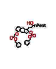 CCCCCC(O)CCC1C(OC(=O)OCc2ccccc2)CC2Cc3c(cccc3OCC(=O)OCc3ccccc3)CC21